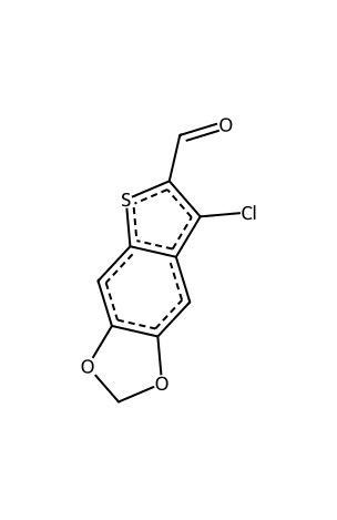 O=Cc1sc2cc3c(cc2c1Cl)OCO3